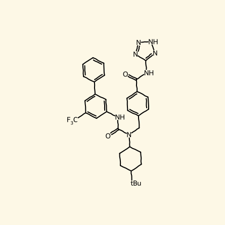 CC(C)(C)C1CCC(N(Cc2ccc(C(=O)Nc3nn[nH]n3)cc2)C(=O)Nc2cc(-c3ccccc3)cc(C(F)(F)F)c2)CC1